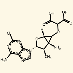 C[C@H]1[C@H](n2cnc3c(N)nc(Cl)nc32)O[C@@H]2C(OC(C(=O)O)C(=O)O)[C@@]21N